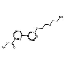 COC(=O)c1cccc(-c2ccnc(NCCOCCN)c2)n1